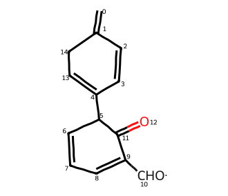 C=C1C=CC(C2C=CC=C([C]=O)C2=O)=CC1